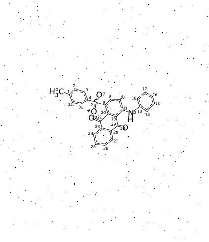 Cc1ccc(S(=O)(=O)c2ccc(Nc3ccccc3)c3c2C(=O)c2ccccc2C3=O)cc1